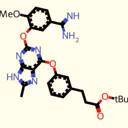 COc1ccc(C(=N)N)cc1Oc1nc(Oc2cccc(CCC(=O)OC(C)(C)C)c2)c2nc(C)[nH]c2n1